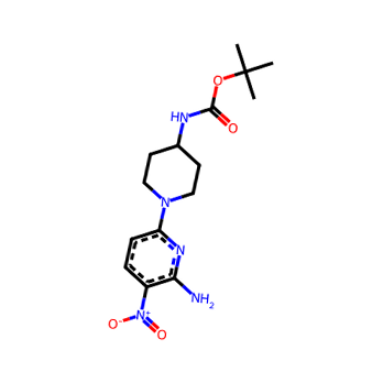 CC(C)(C)OC(=O)NC1CCN(c2ccc([N+](=O)[O-])c(N)n2)CC1